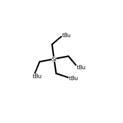 CC(C)(C)C[Si](CC(C)(C)C)(CC(C)(C)C)CC(C)(C)C